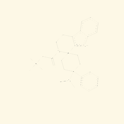 CN(C)C1(c2ccccc2)CCC2(CC1)c1[nH]c3ccccc3c1CCN2C(=O)CC(C)(C)C